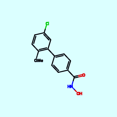 COc1ccc(Cl)cc1-c1ccc(C(=O)NO)cc1